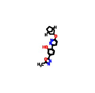 Cc1nnc(-c2ccc(-c3ccc(O[C@H]4C[C@@H]5CC[C@@H](C5)C4)nn3)c(O)c2)o1